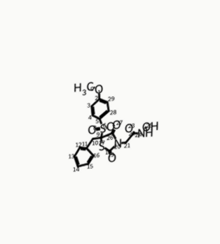 COc1ccc(S(=O)(=O)C2(Cc3ccccc3)SC(=O)N(CC(=O)NO)C2=O)cc1